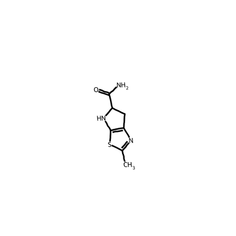 Cc1nc2c(s1)NC(C(N)=O)C2